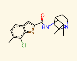 Cc1ccc2cc(C(=O)NC3C4CCN(CC4)C3(C)C)sc2c1Cl